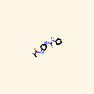 C=C(C)C(=O)Nc1ccc(NC(=O)Nc2ccccc2)cc1